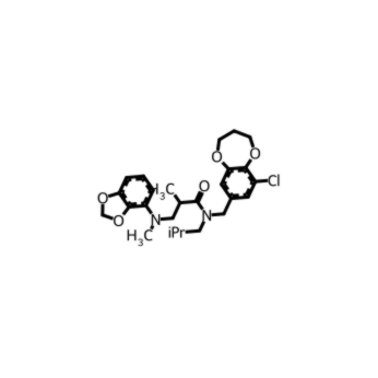 CC(C)CN(Cc1cc(Cl)c2c(c1)OCCCO2)C(=O)C(C)CN(C)c1cccc2c1OCO2